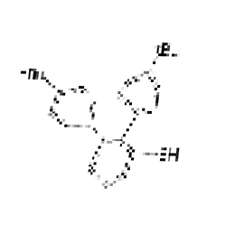 CC(C)(C)c1ccc(-c2cccc(S)c2-c2ccc(C(C)(C)C)cc2)cc1